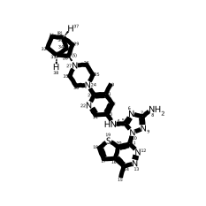 Cc1cc(Nc2nc(N)nn2-c2nnc(C)c3ccsc23)cnc1N1CCN([C@H]2C[C@@H]3CC[C@H]2C3)CC1